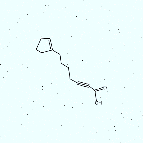 O=C(O)C#CCCCCC1=CCCC1